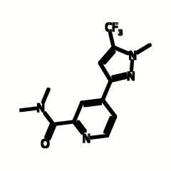 CN(C)C(=O)c1cc(-c2cc(C(F)(F)F)n(C)n2)ccn1